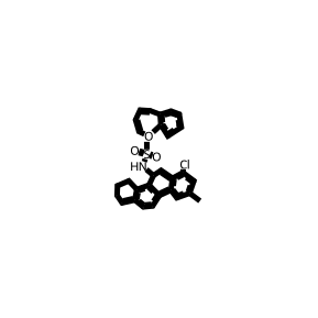 C1=COc2ccccc2C=C1.Cc1cc(Cl)c2c(c1)=c1ccc3c(c1C(NS(C)(=O)=O)C=2)CCCC=3